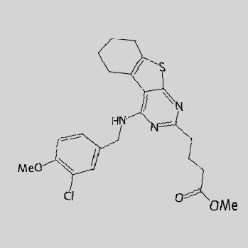 COC(=O)CCCc1nc(NCc2ccc(OC)c(Cl)c2)c2c3c(sc2n1)CCCC3